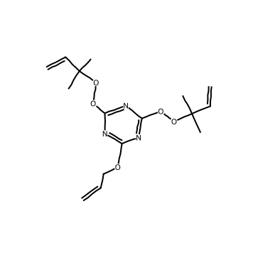 C=CCOc1nc(OOC(C)(C)C=C)nc(OOC(C)(C)C=C)n1